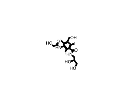 O=C(CO)Nc1c(I)c(CO)c(I)c(C(=O)NCC(O)CO)c1I